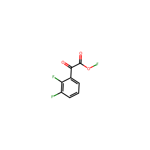 O=C(OF)C(=O)c1cccc(F)c1F